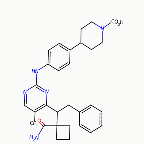 NC(=O)C1(C(Cc2ccccc2)c2nc(Nc3ccc(C4CCN(C(=O)O)CC4)cc3)ncc2C(F)(F)F)CCC1